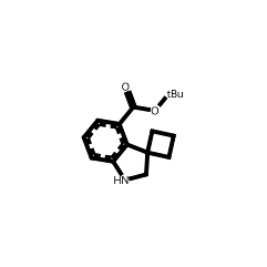 CC(C)(C)OC(=O)c1cccc2c1C1(CCC1)CN2